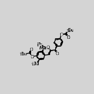 COC(=Cc1cc(C(C)(C)C)c(OC(=O)C(C)(C)C)cc1OC(C)C)C(=O)c1ccc(OC(=O)C(C)(C)C)cc1